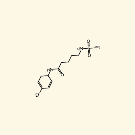 CCC1=CCC(NC(=O)CCCCNS(=O)(=O)C(C)C)C=C1